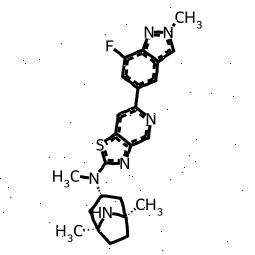 CN(c1nc2cnc(-c3cc(F)c4nn(C)cc4c3)cc2s1)[C@H]1C[C@]2(C)CC[C@](C)(C1)N2